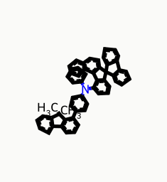 CC1(C)c2ccccc2-c2cccc(-c3ccc(N(c4ccccc4)c4cccc5c4-c4c(ccc6ccccc46)C54c5ccccc5-c5ccccc54)cc3)c21